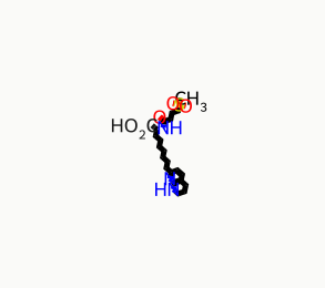 CS(=O)(=O)CCCC(=O)NC(CCCCCCCc1ccc2c(n1)NCCC2)C(=O)O